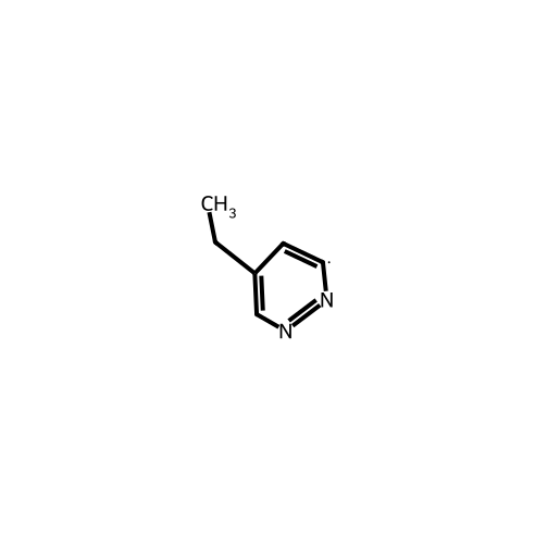 CCc1c[c]nnc1